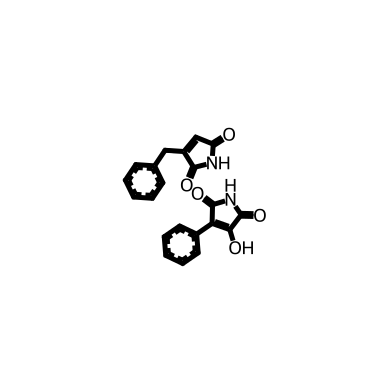 O=C1C=C(Cc2ccccc2)C(=O)N1.O=C1NC(=O)C(c2ccccc2)=C1O